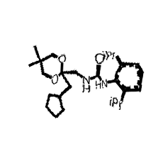 CC(C)c1cccc(C(C)C)c1NC(=O)NCC1(CC2CCCC2)OCC(C)(C)CO1